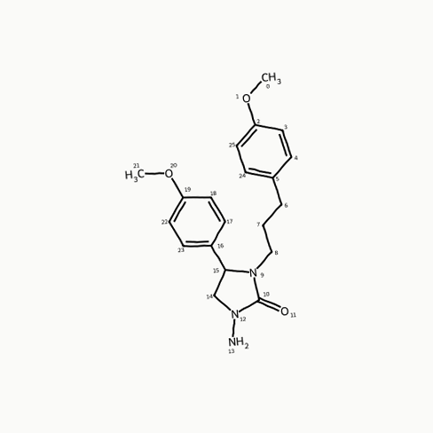 COc1ccc(CCCN2C(=O)N(N)CC2c2ccc(OC)cc2)cc1